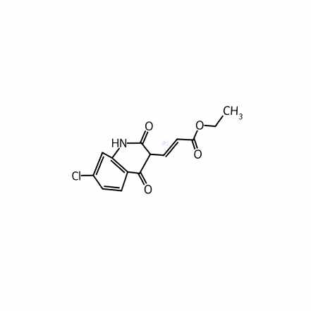 CCOC(=O)/C=C/C1C(=O)Nc2cc(Cl)ccc2C1=O